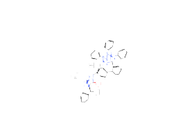 CCCC1=NC(=C(C)c2ccccc2)C(=O)N1Cc1ccc(-c2ccccc2C2N(C)N(c3ccccc3)N(c3ccccc3)N2c2ccccc2)cc1